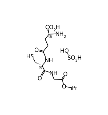 CC(C)OC(=O)CNC(=O)[C@H](CS)NC(=O)CC[C@H](N)C(=O)O.O=S(=O)(O)O